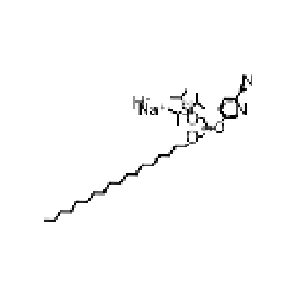 CCCCCCCCCCCCCCCCCCOC[C@H](CO[Si](C(C)C)(C(C)C)C(C)C)Oc1ccc(C#N)nc1.[H-].[Na+]